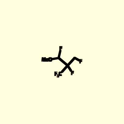 COC(F)C(F)(CF)C(F)(F)F